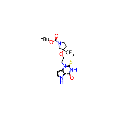 CC(C)(C)OC(=O)N1CCC(OCCn2c(=S)[nH]c(=O)c3[nH]ccc32)(C(F)(F)F)C1